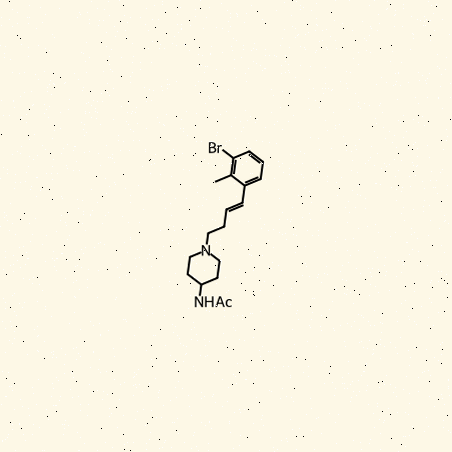 CC(=O)NC1CCN(CC/C=C/c2cccc(Br)c2C)CC1